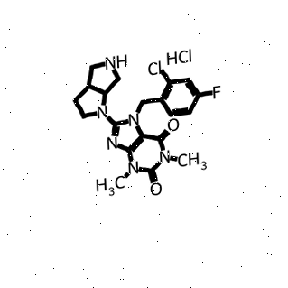 Cl.Cn1c(=O)c2c(nc(N3CCC4CNCC43)n2Cc2ccc(F)cc2Cl)n(C)c1=O